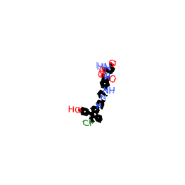 O=C1CCC(N2C(=O)c3ccc(N[C@H]4CCCN(CC5CCN(c6ccc(C(=C(CCCl)c7ccccc7)c7ccc(O)cc7)cc6)CC5)C4)cc3C2=O)C(=O)N1